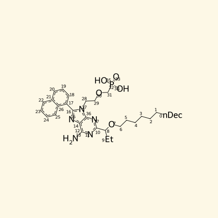 CCCCCCCCCCCCCCCCOC(CC)c1nc(N)c2nc(-c3cccc4ccccc34)n(CCOCP(=O)(O)O)c2n1